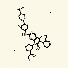 CCC(=O)N1CCCC(n2c(=O)c(-c3ccccc3Cl)c(C)c3cnc(Nc4ccc(N5CCC(N(C)C)CC5)c(C)c4)nc32)C1